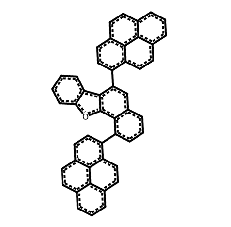 c1cc(-c2ccc3ccc4cccc5ccc2c3c45)c2c(c1)cc(-c1ccc3ccc4cccc5ccc1c3c45)c1c3ccccc3oc21